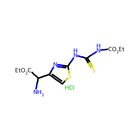 CCOC(=O)NC(=S)Nc1nc(C(N)C(=O)OCC)cs1.Cl